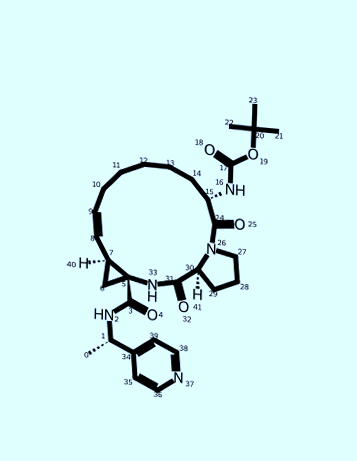 C[C@H](NC(=O)[C@@]12C[C@H]1/C=C\CCCCC[C@H](NC(=O)OC(C)(C)C)C(=O)N1CCC[C@H]1C(=O)N2)c1ccncc1